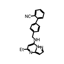 CCc1cc(NCc2ccc(-c3ccccc3C#N)cc2)n2nccc2n1